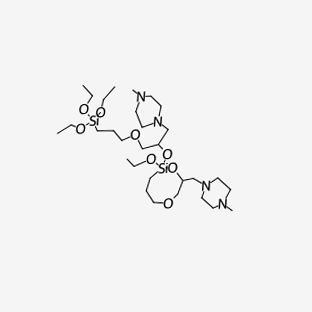 CCO[Si](CCCOCC(CN1CCN(C)CC1)O[Si]1(OCC)CCCOCC(CN2CCN(C)CC2)O1)(OCC)OCC